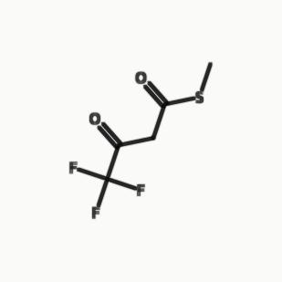 CSC(=O)CC(=O)C(F)(F)F